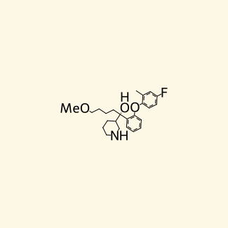 COCCCC[C@@](O)(c1ccccc1Oc1ccc(F)cc1C)C1CCCNC1